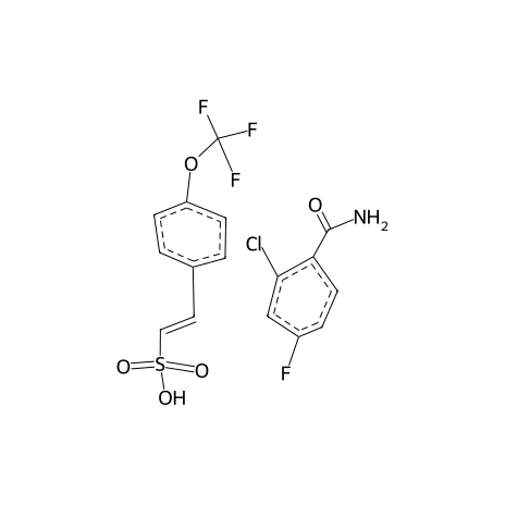 NC(=O)c1ccc(F)cc1Cl.O=S(=O)(O)/C=C/c1ccc(OC(F)(F)F)cc1